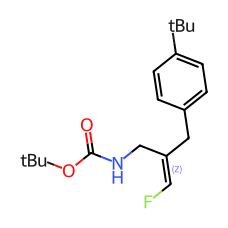 CC(C)(C)OC(=O)NC/C(=C\F)Cc1ccc(C(C)(C)C)cc1